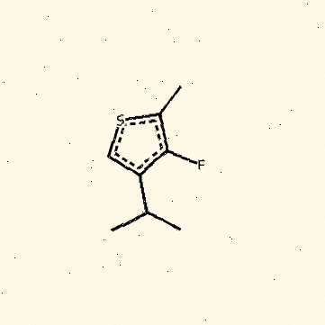 Cc1scc(C(C)C)c1F